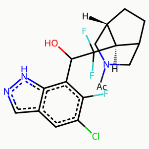 CC(=O)N1CC2CC[C@@H](C1)[C@@H]2C(F)(F)C(O)c1c(F)c(Cl)cc2cn[nH]c12